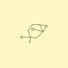 FC1(Cl)CCC2OC2(Cl)C1